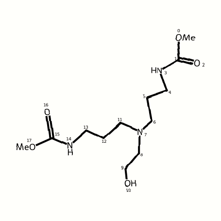 COC(=O)NCCCN(CCO)CCCNC(=O)OC